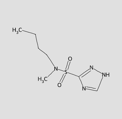 CCCCN(C)S(=O)(=O)c1nc[nH]n1